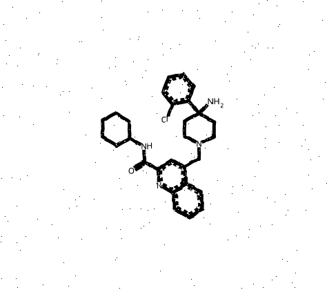 NC1(c2ccccc2Cl)CCN(Cc2cc(C(=O)NC3CCCCC3)nc3ccccc23)CC1